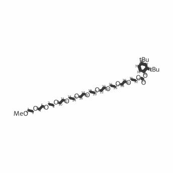 COCCOCCOCCOCCOCCOCCOCCOCCOCCOCCOCCOC(=O)Oc1ccc(C(C)(C)C)cc1C(C)(C)C